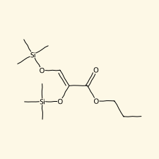 CCCOC(=O)C(=CO[Si](C)(C)C)O[Si](C)(C)C